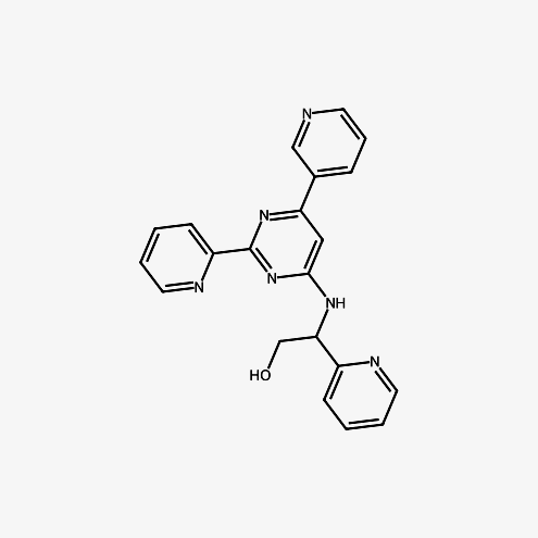 OCC(Nc1cc(-c2cccnc2)nc(-c2ccccn2)n1)c1ccccn1